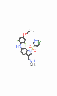 CCOc1cc(F)c(Nc2ccc3c(CNC)cn(S(=O)(=O)c4cccnc4)c3c2)c(F)c1.Cl